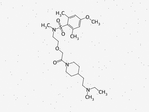 CCN(C)CCC1CCN(C(=O)COCCN(C)S(=O)(=O)c2c(C)cc(OC)cc2C)CC1